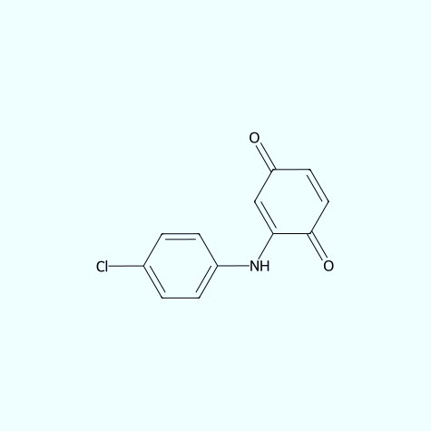 O=C1C=CC(=O)C(Nc2ccc(Cl)cc2)=C1